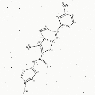 CCC(C)c1ccc(NC(=O)c2sc3nc(-c4cccc(OC)c4)ccc3c2N)cc1